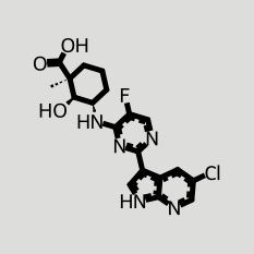 C[C@]1(C(=O)O)CCC[C@H](Nc2nc(-c3c[nH]c4ncc(Cl)cc34)ncc2F)[C@H]1O